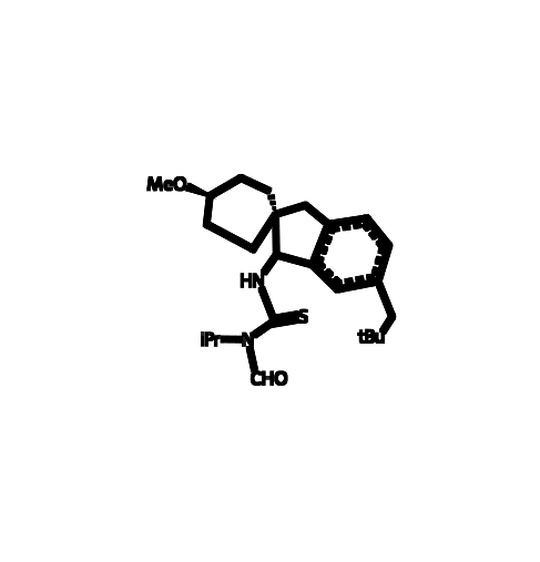 CO[C@H]1CC[C@]2(CC1)Cc1ccc(CC(C)(C)C)cc1C2NC(=S)N(C=O)C(C)C